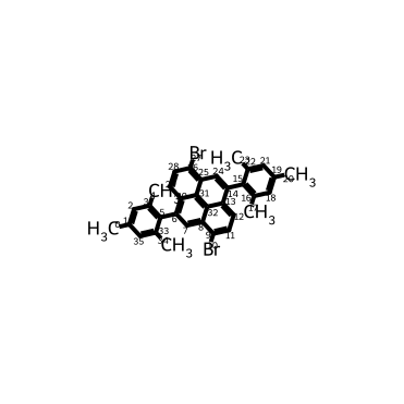 Cc1cc(C)c(-c2cc3c(Br)ccc4c(-c5c(C)cc(C)cc5C)cc5c(Br)ccc2c5c34)c(C)c1